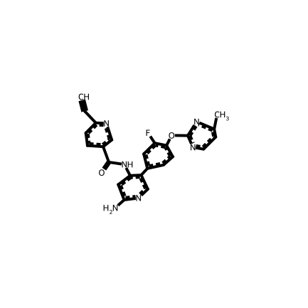 C#Cc1ccc(C(=O)Nc2cc(N)ncc2-c2ccc(Oc3nccc(C)n3)c(F)c2)cn1